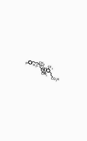 CN(C[C@H](O)CNC(C)(C)CCCc1ccc(F)cc1)S(=O)(=O)c1cc(CCCC(=O)O)cc(C(F)(F)F)c1